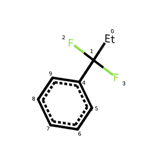 CCC(F)(F)c1[c]cccc1